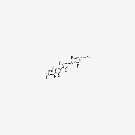 CCCCc1cc(F)c(COc2cc(F)c(-c3cc(F)c(C(F)(F)OC(F)(F)F)c(F)c3)c(F)c2)c(F)c1